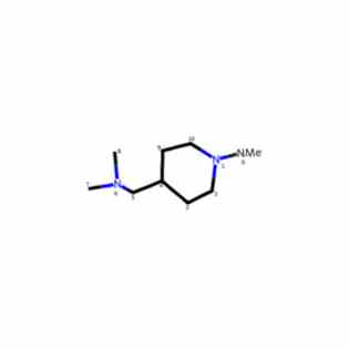 CNN1CCC(CN(C)C)CC1